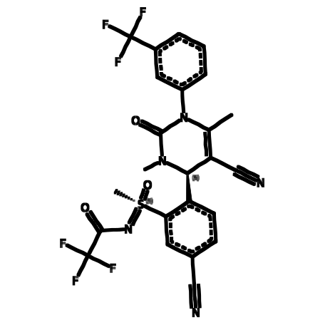 CC1=C(C#N)[C@@H](c2ccc(C#N)cc2[S@](C)(=O)=NC(=O)C(F)(F)F)N(C)C(=O)N1c1cccc(C(F)(F)F)c1